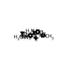 Cc1ccnc(Oc2ccc3c(N)c(-c4ccc(NC(=O)O[C@H](C)C5CC5)cc4)n(C4CCC4)c3c2)n1